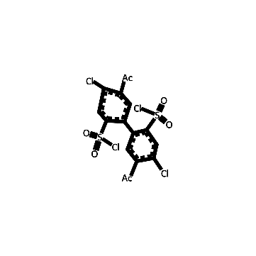 CC(=O)c1cc(-c2cc(C(C)=O)c(Cl)cc2S(=O)(=O)Cl)c(S(=O)(=O)Cl)cc1Cl